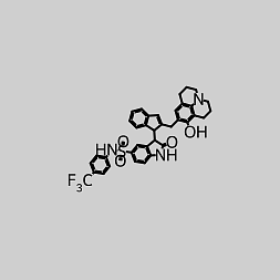 O=C1Nc2ccc(S(=O)(=O)Nc3ccc(C(F)(F)F)cc3)cc2C1C1C(Cc2cc3c4c(c2O)CCCN4CCC3)=Cc2ccccc21